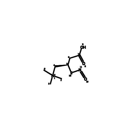 C[N+](C)(C)C[C@@H](CC(=O)O)SN=O